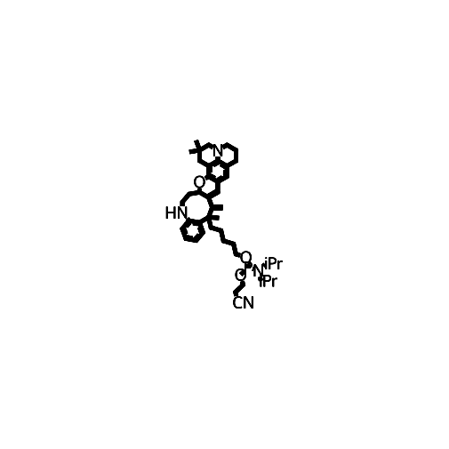 C=C1C2=Cc3cc4c5c(c3OC2CCNc2ccccc2C1(C)CCCCCOP(OCCC#N)N(C(C)C)C(C)C)CC(C)(C)CN5CCC4